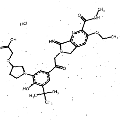 CCOc1cc2c(nc1C(=O)NC)C(=N)N(CC(=O)c1cc(N3CCC(OCC(=O)O)C3)c(O)c(C(C)(C)C)c1)C2.Cl